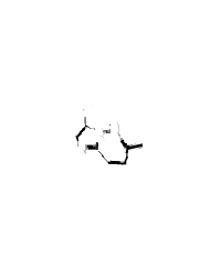 CCc1cnc2ccc(C)nn12